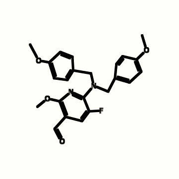 COc1ccc(CN(Cc2ccc(OC)cc2)c2nc(OC)c(C=O)cc2F)cc1